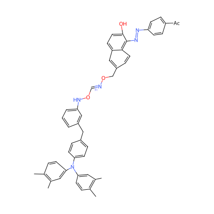 CC(=O)c1ccc(N=Nc2c(O)ccc3cc(CO/N=C/ONc4cccc(Cc5ccc(N(c6ccc(C)c(C)c6)c6ccc(C)c(C)c6)cc5)c4)ccc23)cc1